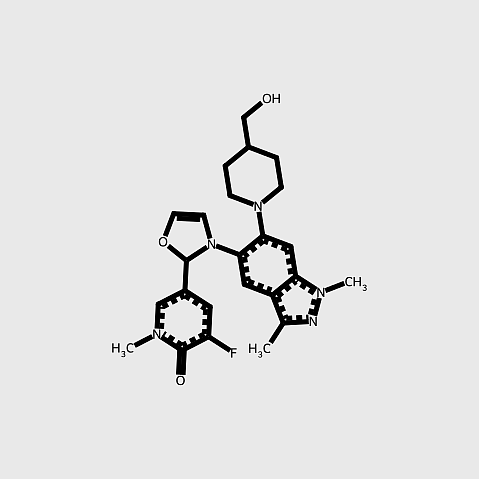 Cc1nn(C)c2cc(N3CCC(CO)CC3)c(N3C=COC3c3cc(F)c(=O)n(C)c3)cc12